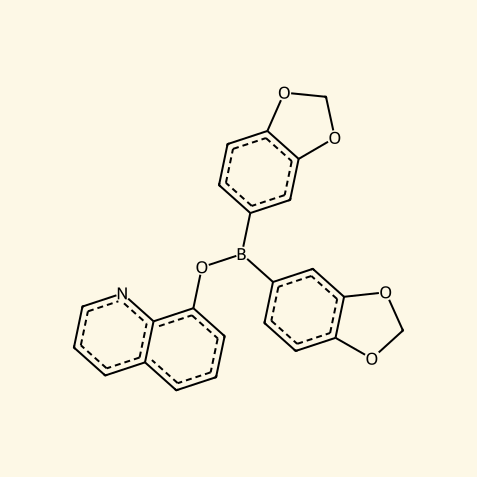 c1cnc2c(OB(c3ccc4c(c3)OCO4)c3ccc4c(c3)OCO4)cccc2c1